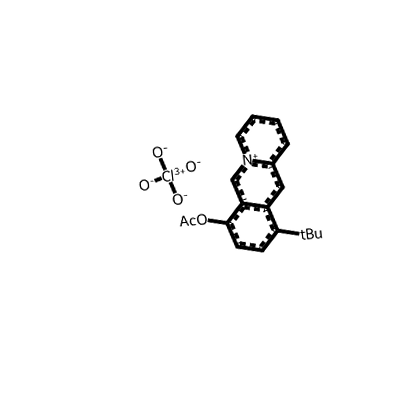 CC(=O)Oc1ccc(C(C)(C)C)c2cc3cccc[n+]3cc12.[O-][Cl+3]([O-])([O-])[O-]